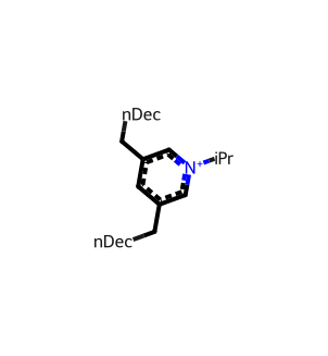 CCCCCCCCCCCc1cc(CCCCCCCCCCC)c[n+](C(C)C)c1